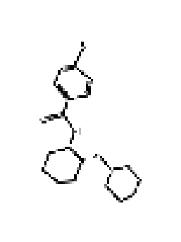 O=C(N[C@@H]1CCCC[C@H]1CN1CCCCC1)c1ccc(Cl)cc1